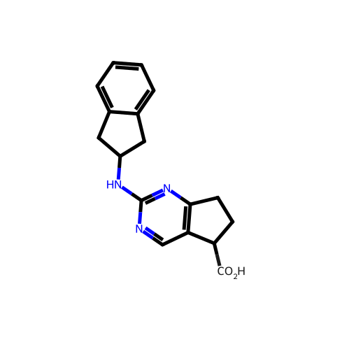 O=C(O)C1CCc2nc(NC3Cc4ccccc4C3)ncc21